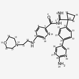 N=C(NC(=O)c1ccc(NCCN2CCOCC2)nn1)C1(c2ccc(-c3cnc(N)nc3)cc2)CCC1